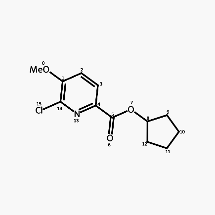 COc1ccc(C(=O)OC2CCCC2)nc1Cl